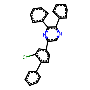 Clc1cc(-c2cnc(-c3ccccc3)c(-c3ccccc3)n2)ccc1-c1ccccc1